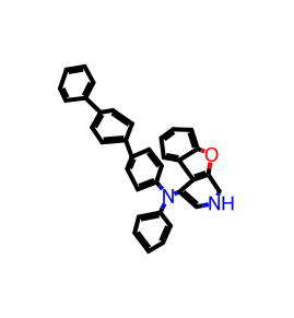 C1=C(N(c2ccccc2)c2ccc(-c3ccc(-c4ccccc4)cc3)cc2)c2c(oc3ccccc23)CN1